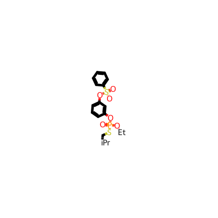 CCOP(=O)(Oc1cccc(OS(=O)(=O)c2ccccc2)c1)SCC(C)C